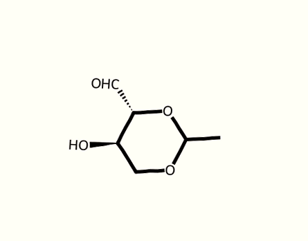 CC1OC[C@@H](O)[C@H](C=O)O1